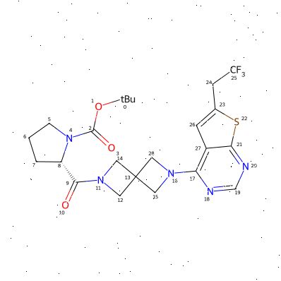 CC(C)(C)OC(=O)N1CCC[C@H]1C(=O)N1CC2(C1)CN(c1ncnc3sc(CC(F)(F)F)cc13)C2